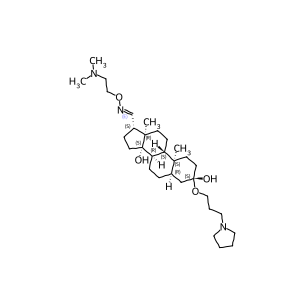 CN(C)CCO/N=C/[C@H]1CC[C@]2(O)[C@@H]3CC[C@@H]4C[C@@](O)(OCCCN5CCCC5)CC[C@]4(C)[C@H]3CC[C@]12C